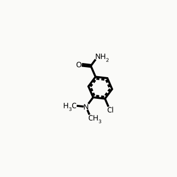 CN(C)c1cc(C(N)=O)ccc1Cl